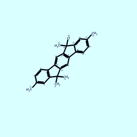 Cc1ccc2c(c1)C(C)(C)c1cc3c(cc1-2)C(C)(Cl)c1cc(C)ccc1-3